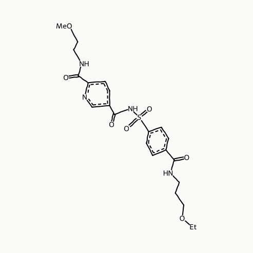 CCOCCCNC(=O)c1ccc(S(=O)(=O)NC(=O)c2ccc(C(=O)NCCOC)nc2)cc1